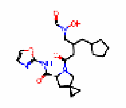 O=CN(O)CC(CC(=O)N1CC2(CC2)C[C@H]1C(=O)Nc1ncco1)CC1CCCC1